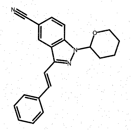 N#Cc1ccc2c(c1)c(C=Cc1ccccc1)nn2C1CCCCO1